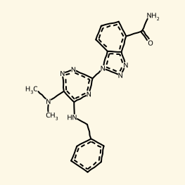 CN(C)c1nnc(-n2nnc3c(C(N)=O)cccc32)nc1NCc1ccccc1